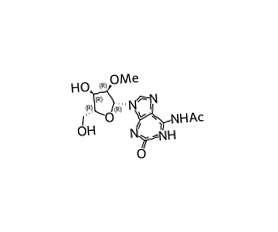 CO[C@@H]1[C@H](O)[C@@H](CO)O[C@H]1n1cnc2c(NC(C)=O)[nH]c(=O)nc21